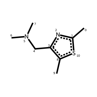 Cc1nc(CN(C)C)c(C)s1